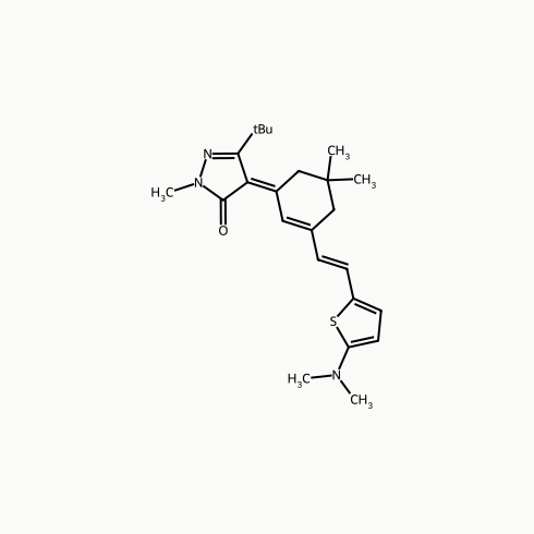 CN1N=C(C(C)(C)C)/C(=C2C=C(/C=C/c3ccc(N(C)C)s3)CC(C)(C)C/2)C1=O